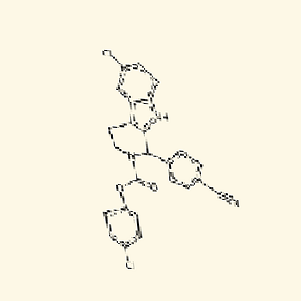 N#Cc1ccc(C2c3[nH]c4ccc(Cl)cc4c3CCN2C(=O)Oc2ccc(Cl)cc2)cc1